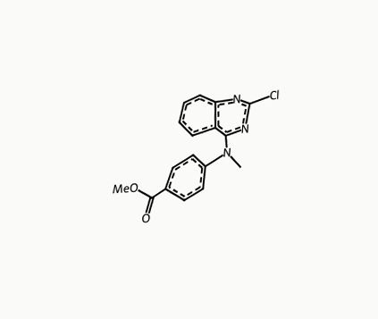 COC(=O)c1ccc(N(C)c2nc(Cl)nc3ccccc23)cc1